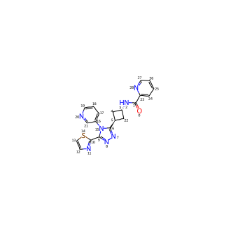 O=C(N[C@H]1C[C@H](c2nnc(-c3nccs3)n2-c2cccnc2)C1)c1ccccn1